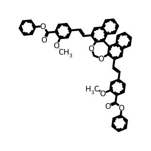 COc1cc(/C=C/c2cc3ccccc3c3c2OCOc2c(/C=C/c4ccc(C(=O)Oc5ccccc5)c(OC)c4)cc4ccccc4c2-3)ccc1C(=O)Oc1ccccc1